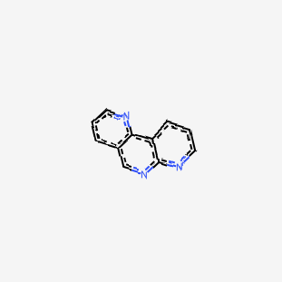 c1cnc2c(c1)cnc1ncccc12